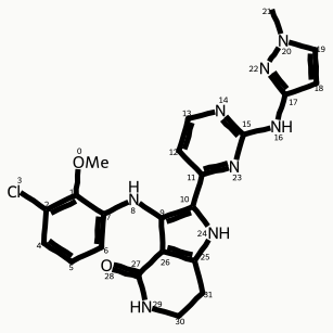 COc1c(Cl)cccc1Nc1c(-c2ccnc(Nc3ccn(C)n3)n2)[nH]c2c1C(=O)NCC2